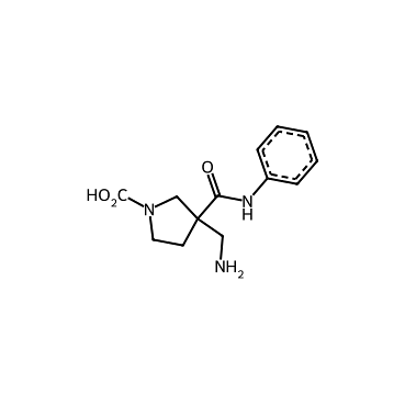 NCC1(C(=O)Nc2ccccc2)CCN(C(=O)O)C1